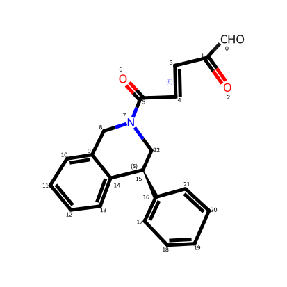 O=CC(=O)/C=C/C(=O)N1Cc2ccccc2[C@H](c2ccccc2)C1